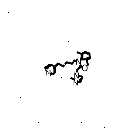 Cc1cccc(C)c1N(CCCCCc1ccncc1)C(=O)Cn1ccnc1C